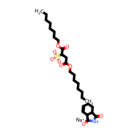 CCCCCCCCOC(=O)CC(C(=O)OCCCCCCCC)S(=O)(=O)[O-].O=C1NC(=O)C2CCC=CC12.[Na+]